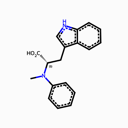 CN(c1ccccc1)[C@@H](Cc1c[nH]c2ccccc12)C(=O)O